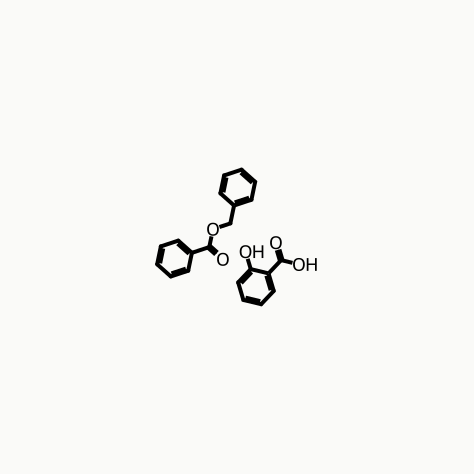 O=C(O)c1ccccc1O.O=C(OCc1ccccc1)c1ccccc1